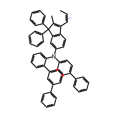 C/C=C\C1=C(C)C(c2ccccc2)(c2ccccc2)c2cc(N(c3ccc(-c4ccccc4)cc3)c3ccccc3-c3cccc(-c4ccccc4)c3)ccc21